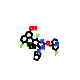 C#Cc1c(F)ccc2cc(O)cc(-c3c(Cl)cc4c(N5CC6CCC(C6)C5)nc(OC[C@@]56CCCN5C[C@H](F)C6)nc4c3F)c12